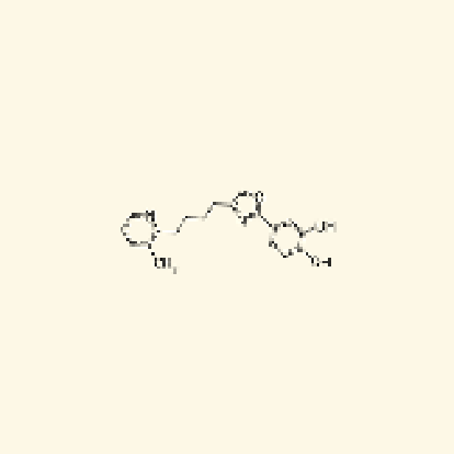 Cc1cccnc1CCCCc1coc(-c2ccc(O)c(O)c2)n1